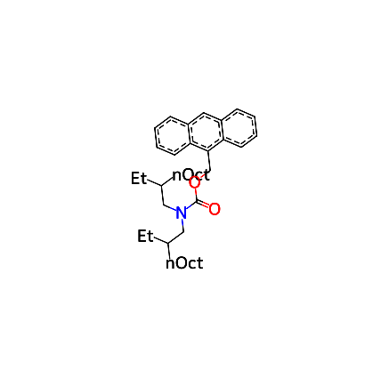 CCCCCCCCC(CC)CN(CC(CC)CCCCCCCC)C(=O)OCc1c2ccccc2cc2ccccc12